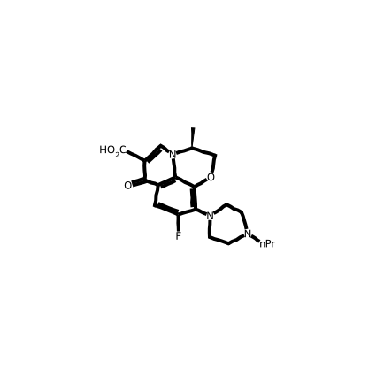 CCCN1CCN(c2c(F)cc3c(=O)c(C(=O)O)cn4c3c2OC[C@@H]4C)CC1